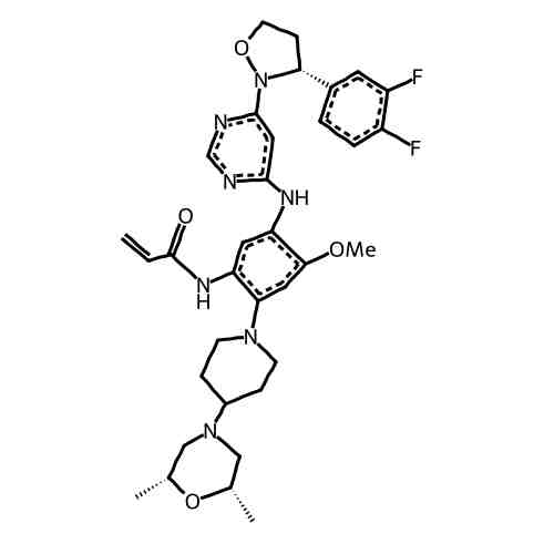 C=CC(=O)Nc1cc(Nc2cc(N3OCC[C@@H]3c3ccc(F)c(F)c3)ncn2)c(OC)cc1N1CCC(N2C[C@@H](C)O[C@@H](C)C2)CC1